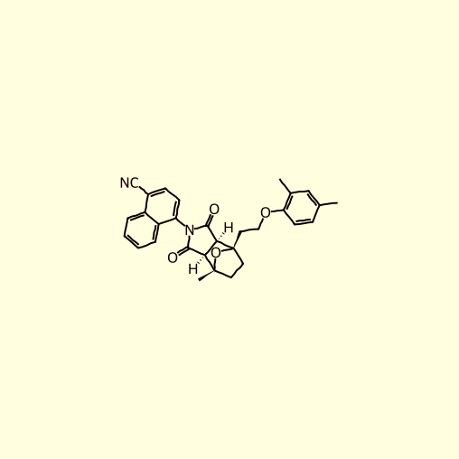 Cc1ccc(OCC[C@@]23CC[C@@](C)(O2)[C@H]2C(=O)N(c4ccc(C#N)c5ccccc45)C(=O)[C@H]23)c(C)c1